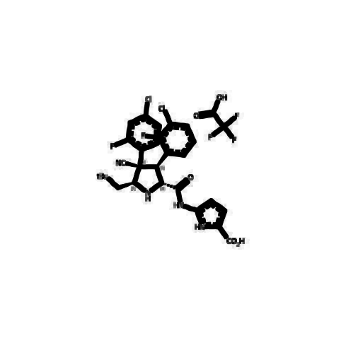 CC(C)(C)C[C@@H]1N[C@@H](C(=O)Nc2ccc(C(=O)O)[nH]2)[C@H](c2cccc(Cl)c2F)[C@@]1(C#N)c1ccc(Cl)cc1F.O=C(O)C(F)(F)F